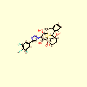 Cc1ccccc1C([SH]1C[C@H](O)[C@H](n2cc(-c3cc(F)c(F)c(F)c3)nn2)[C@@H](O)[C@H]1CO)C1(O)CCCCC1